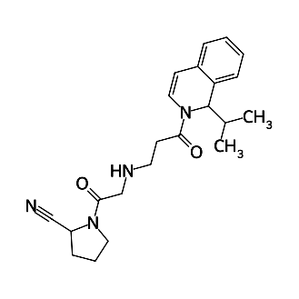 CC(C)C1c2ccccc2C=CN1C(=O)CCNCC(=O)N1CCCC1C#N